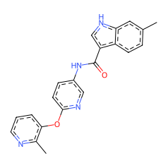 Cc1ccc2c(C(=O)Nc3ccc(Oc4cccnc4C)nc3)c[nH]c2c1